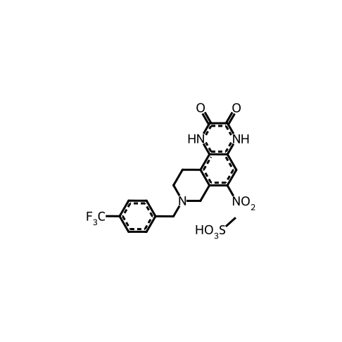 CS(=O)(=O)O.O=c1[nH]c2cc([N+](=O)[O-])c3c(c2[nH]c1=O)CCN(Cc1ccc(C(F)(F)F)cc1)C3